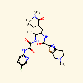 CC[C@@H](C[C@@H](NC(=O)c1nc2c(s1)CN(C)CC2)[C@H](C)NC(=O)C(=O)Nc1ccc(Cl)cn1)C(=O)N(C)C